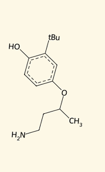 CC(CCN)Oc1ccc(O)c(C(C)(C)C)c1